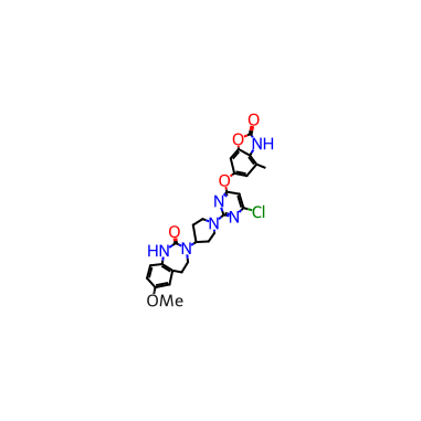 COc1ccc2c(c1)CCN(C1CCN(c3nc(Cl)cc(Oc4cc(C)c5[nH]c(=O)oc5c4)n3)CC1)C(=O)N2